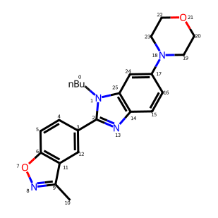 CCCCn1c(-c2ccc3onc(C)c3c2)nc2ccc(N3CCOCC3)cc21